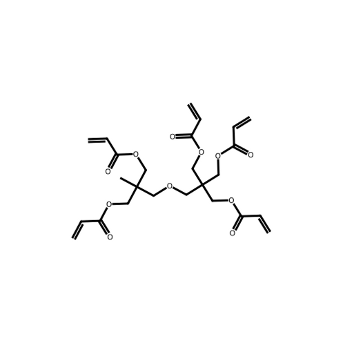 C=CC(=O)OCC(C)(COCC(COC(=O)C=C)(COC(=O)C=C)COC(=O)C=C)COC(=O)C=C